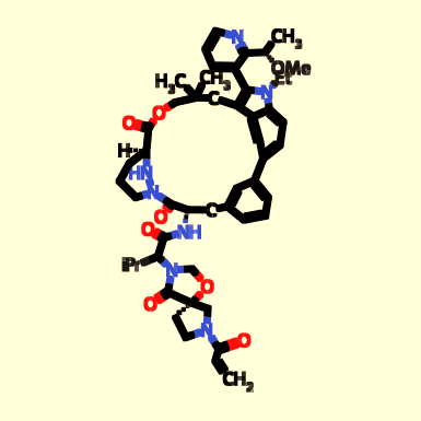 C=CC(=O)N1CC[C@@]2(C1)OCN(C(C(=O)N[C@H]1Cc3cccc(c3)-c3ccc4c(c3)c(c(-c3cccnc3[C@H](C)OC)n4CC)CC(C)(C)COC(=O)[C@@H]3CCCN(N3)C1=O)C(C)C)C2=O